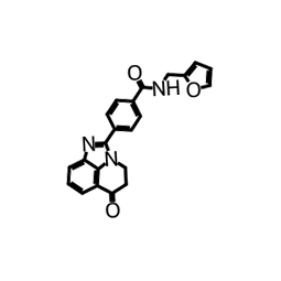 O=C(NCc1ccco1)c1ccc(-c2nc3cccc4c3n2CCC4=O)cc1